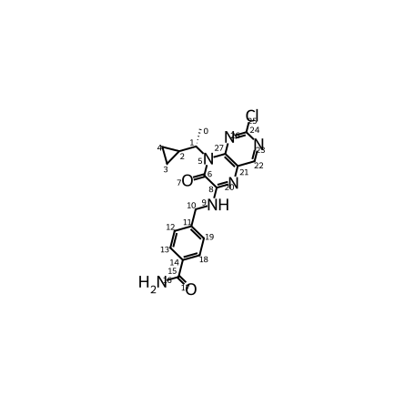 C[C@@H](C1CC1)n1c(=O)c(NCc2ccc(C(N)=O)cc2)nc2cnc(Cl)nc21